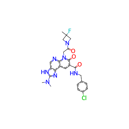 CN(C)c1nc2c(cnc3c2cc(C(=O)NCc2ccc(Cl)cc2)c(=O)n3CC(=O)N2CC(C)(F)C2)[nH]1